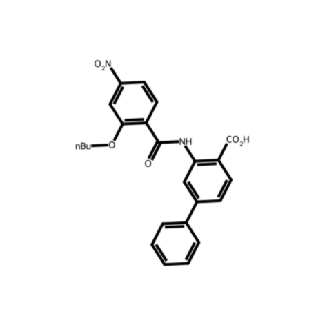 CCCCOc1cc([N+](=O)[O-])ccc1C(=O)Nc1cc(-c2ccccc2)ccc1C(=O)O